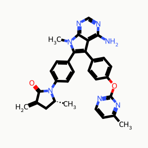 C=C1C[C@@H](C)N(c2ccc(-c3c(-c4ccc(Oc5nccc(C)n5)cc4)c4c(N)ncnc4n3C)cc2)C1=O